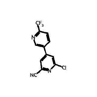 N#Cc1cc(-c2ccc(C(F)(F)F)nc2)cc(Cl)n1